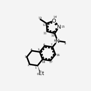 CC[C@@H]1CCCc2cc(N(C)c3cc(C)on3)ccc21